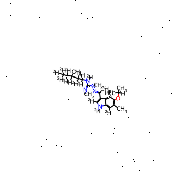 [2H]c1c(OC([2H])(C)C)c(C)c([2H])c2c1c(/C(C)=N/N(C)/C(=N\C)N([2H])C([2H])([2H])C([2H])([2H])C([2H])(C)C([2H])([2H])C([2H])([2H])[2H])c([2H])n2[2H]